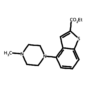 CCOC(=O)c1cc2c(N3CCN(C)CC3)cccc2s1